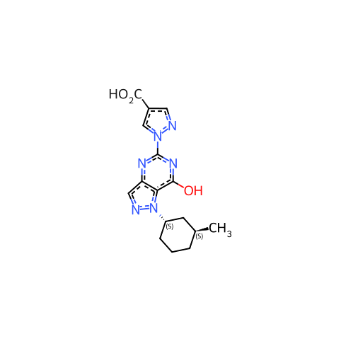 C[C@H]1CCC[C@H](n2ncc3nc(-n4cc(C(=O)O)cn4)nc(O)c32)C1